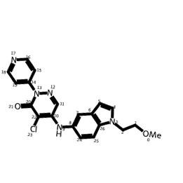 COCCn1ccc2cc(Nc3cnn(-c4ccncc4)c(=O)c3Cl)ccc21